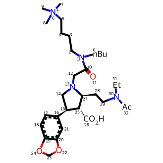 CCCCN(CCCC[N+](C)(C)C)C(=O)CN1C[C@H](c2ccc3c(c2)OCO3)[C@@H](C(=O)O)[C@@H]1CCN(CC)C(C)=O